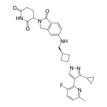 Cc1ccc(F)c(-c2cn([C@H]3C[C@H](CNc4ccc5c(c4)CN(C4CCC(=O)NC4=O)C5=O)C3)nc2C2CC2)n1